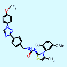 CCC(C)c1ccc(OC)cc1-n1c(C)cs/c1=N\C(=O)NCc1ccc(-c2ncn(-c3ccc(OC(F)(F)F)cc3)n2)cc1